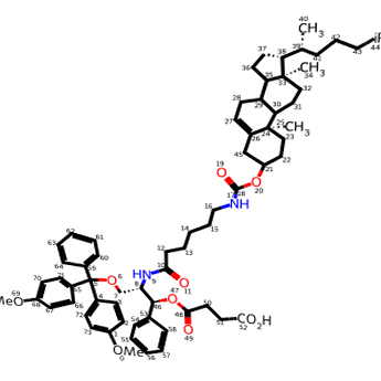 COc1ccc(C(OC[C@H](NC(=O)CCCCCNC(=O)OC2CC[C@@]3(C)C(=CCC4C3CC[C@@]3(C)C4CC[C@@H]3[C@H](C)CCCC(C)C)C2)[C@@H](OC(=O)CCC(=O)O)c2ccccc2)(c2ccccc2)c2ccc(OC)cc2)cc1